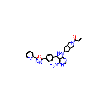 C=CC(=O)N1CC2CC(n3nc(-c4ccc(-c5nnc(-c6ccccn6)o5)cc4)c4c(N)ncnc43)CC2C1